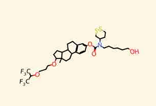 CC12CCC3c4ccc(OC(=O)N(CCCCCCO)C5CCSSC5)cc4CCC3C1CCC2OCCCOC(C(F)(F)F)C(F)(F)F